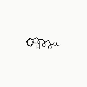 CCOC(=O)CC(=O)CC1Cc2ccccc2N1